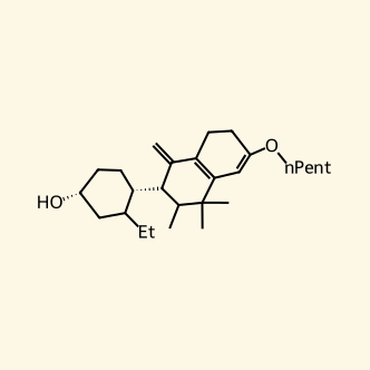 C=C1C2=C(C=C(OCCCCC)CC2)C(C)(C)C(C)C1[C@H]1CC[C@@H](O)CC1CC